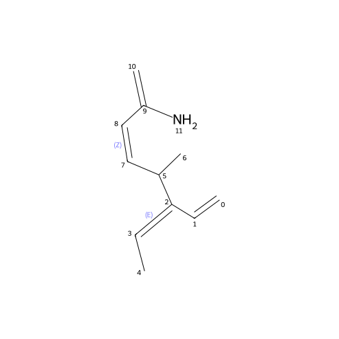 C=C/C(=C\C)C(C)/C=C\C(=C)N